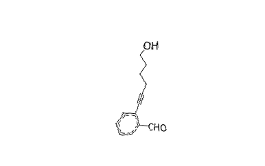 O=Cc1ccccc1C#CCCCCO